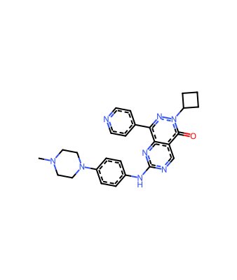 CN1CCN(c2ccc(Nc3ncc4c(=O)n(C5CCC5)nc(-c5ccncc5)c4n3)cc2)CC1